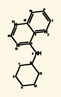 c1cnc2c(NC3CCCCC3)ncnc2c1